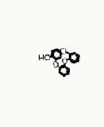 Oc1ccccc1Oc1ccccc1Oc1ccccc1Cl